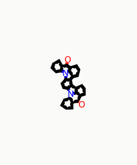 O=c1c2ccccc2n2c3ccc4c(c5cccc6c(=O)c7ccccc7n4c65)c3c3cccc1c32